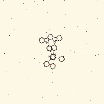 c1ccc(-c2ccc(-c3ccc(-n4c5ccccc5c5ccc6c7ccccc7n(-c7ccc(-c8nc(-c9ccccc9)cc(-c9ccccc9)n8)cc7)c6c54)cc3)cc2)cc1